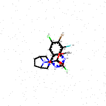 CC(C)(C)OC(=O)N1CC2CCC(C1)N2c1nc(Cl)nc2c(F)c(Br)c(Cl)cc12